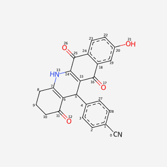 N#Cc1ccc(C2C3=C(CCCC3=O)NC3=C2C(=O)c2cc(O)ccc2C3=O)cc1